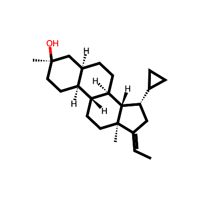 C/C=C1\C[C@@H](C2CC2)[C@H]2[C@@H]3CC[C@@H]4C[C@](C)(O)CC[C@@H]4[C@H]3CC[C@]12C